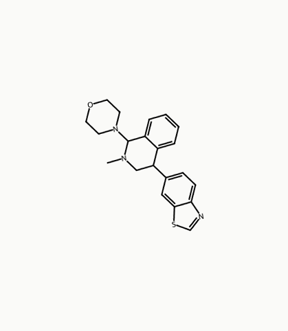 CN1CC(c2ccc3ncsc3c2)c2ccccc2C1N1CCOCC1